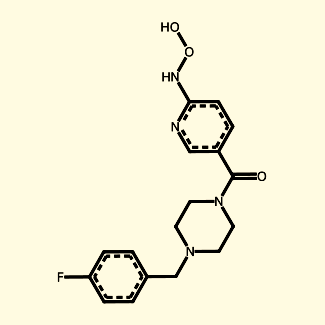 O=C(c1ccc(NOO)nc1)N1CCN(Cc2ccc(F)cc2)CC1